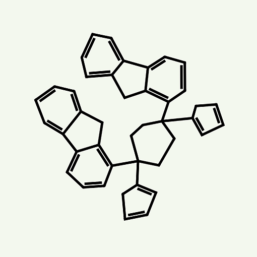 C1=CCC(C2(c3cccc4c3Cc3ccccc3-4)CCC(C3=CC=CC3)(c3cccc4c3Cc3ccccc3-4)CC2)=C1